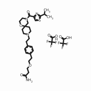 CC(C)c1nc(C(=O)N2CCOC3(CCN(CCc4ccc(CCOCCC(N)=O)cc4)CC3)C2)cs1.O=C(O)C(F)(F)F.O=C(O)C(F)(F)F